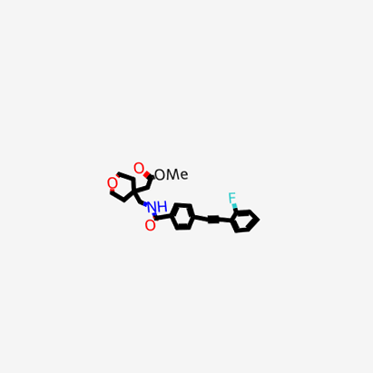 COC(=O)CC1(CNC(=O)c2ccc(C#Cc3ccccc3F)cc2)CCOCC1